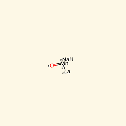 [NaH].[O]=[Mn][La]